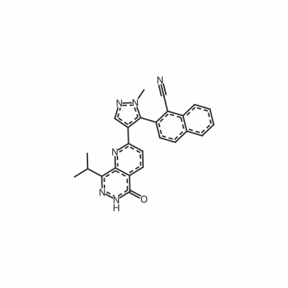 CC(C)c1n[nH]c(=O)c2ccc(-c3cnn(C)c3-c3ccc4ccccc4c3C#N)nc12